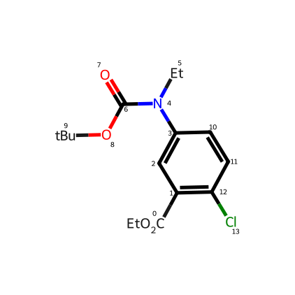 CCOC(=O)c1cc(N(CC)C(=O)OC(C)(C)C)ccc1Cl